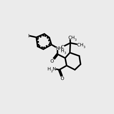 CC(C)(C)C1CCCC(C(N)=O)C1C(=O)Nc1ccc(I)cc1